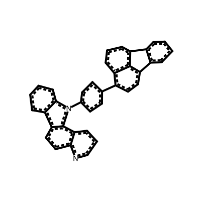 c1ccc2c(c1)-c1cccc3c(-c4ccc(-n5c6ccccc6c6ccc7ncccc7c65)cc4)ccc-2c13